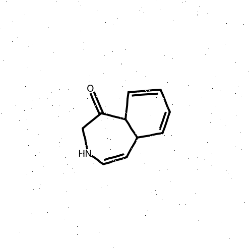 O=C1CNC=CC2C=CC=CC12